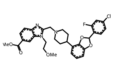 COCCn1c(CN2CCC(c3cccc4c3OC(c3ccc(Cl)cc3F)O4)CC2)nc2ccc(C(=O)OC)cc21